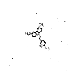 C=C(C)/C=C\C(=C/N)CCn1c2c(c3cc(C)ccc31)CN(C)CC2